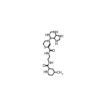 CC1CCNC(C(=O)NCCNC(=O)C2=CN(C3NCNC4NCNC43)CCS2)C1